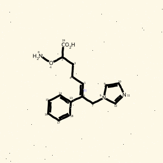 NOC(CC/C=C(/Cn1ccnc1)c1ccccc1)C(=O)O